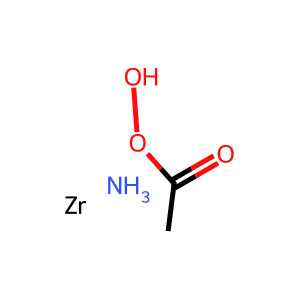 CC(=O)OO.N.[Zr]